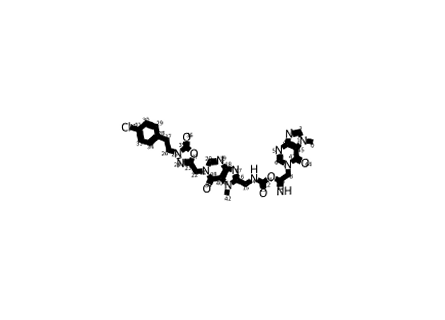 Cn1cnc2ncn(CC(=N)OC(=O)NCc3nc4ncn(Cc5nn(CCc6ccc(Cl)cc6)c(=O)o5)c(=O)c4n3C)c(=O)c21